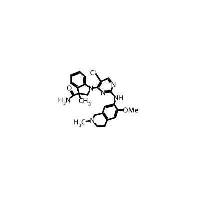 COc1cc2c(cc1Nc1ncc(Cl)c(N3CC(C)(C(N)=O)c4ccccc43)n1)CN(C)CC2